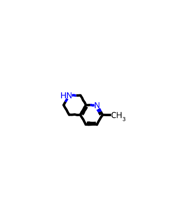 Cc1ccc2c(n1)CNCC2